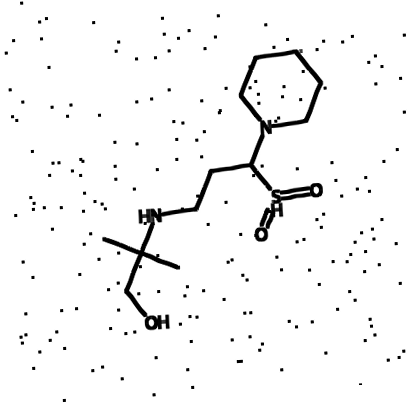 CC(C)(CO)NCCC(N1CC[CH]CC1)[SH](=O)=O